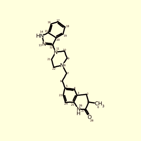 CC1Cc2cc(CCN3CCN(c4n[nH]c5ccccc45)CC3)ccc2NC1=O